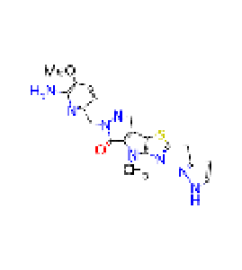 COc1ccc(Cn2ncc3c4sc(Cc5cc[nH]n5)nc4n(C)c3c2=O)nc1N